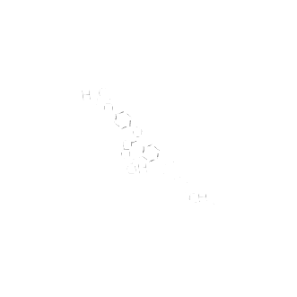 CCC[C@H]1CC[C@H](c2ccc(C(=O)Oc3ccc(OCC)cc3)c(C(=O)O)c2)CC1